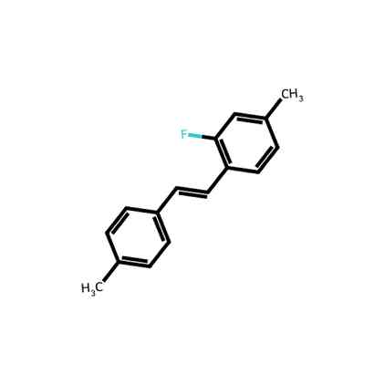 Cc1ccc(C=Cc2ccc(C)cc2F)cc1